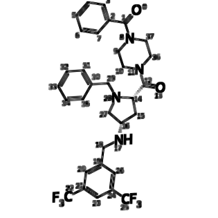 O=C(c1ccccc1)N1CCN(C(=O)[C@@H]2C[C@H](NCc3cc(C(F)(F)F)cc(C(F)(F)F)c3)CN2Cc2ccccc2)CC1